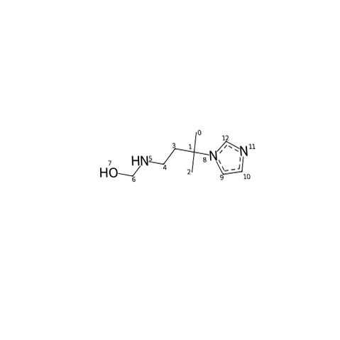 CC(C)(CCNCO)n1ccnc1